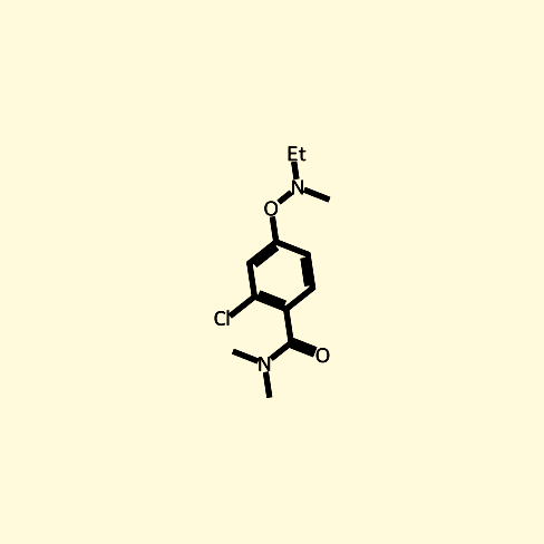 CCN(C)Oc1ccc(C(=O)N(C)C)c(Cl)c1